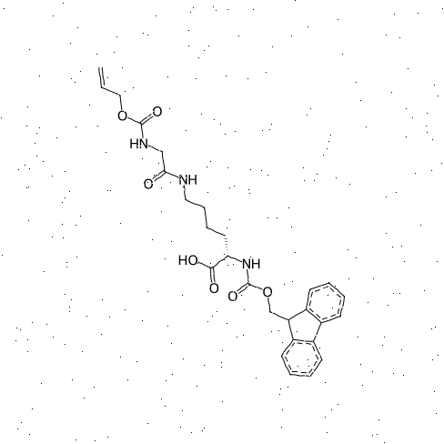 C=CCOC(=O)NCC(=O)NCCCC[C@H](NC(=O)OCC1c2ccccc2-c2ccccc21)C(=O)O